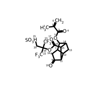 C=C(C)C(=O)OC1C2CC(=O)C3C2CC1C3C(=O)OC(CS(=O)(=O)O)(C(F)(F)F)C(F)(F)F